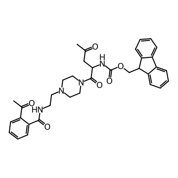 CC(=O)CC(NC(=O)OCC1c2ccccc2-c2ccccc21)C(=O)N1CCN(CCNC(=O)c2ccccc2C(C)=O)CC1